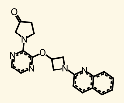 O=C1CCN(c2nccnc2OC2CN(c3ccc4ccccc4n3)C2)C1